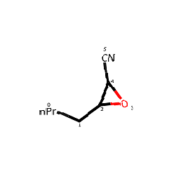 CCCCC1OC1C#N